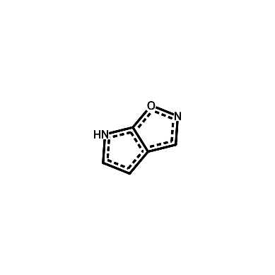 c1cc2cnoc2[nH]1